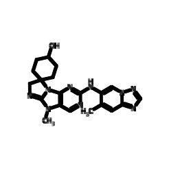 Cc1cc2ncnn2cc1Nc1ncc2c(n1)N1C(=NCC13CCC(O)CC3)N2C